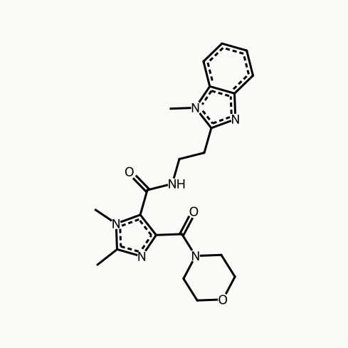 Cc1nc(C(=O)N2CCOCC2)c(C(=O)NCCc2nc3ccccc3n2C)n1C